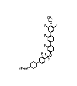 CCCCCC1CCC(c2ccc(C(F)(F)Oc3ccc(-c4ccc(-c5cc(F)c(OCC(F)(F)F)c(F)c5)c(F)c4)c(F)c3)c(F)c2)CC1